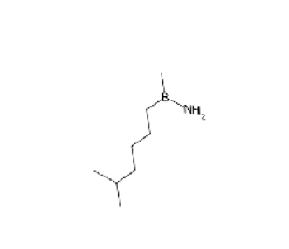 CB(N)CCCCC(C)C